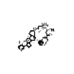 C[C@@H](CC(=O)O[C@H]1CC[C@@]2(C)C(=CC[C@@H]3[C@@H]2CC[C@]2(C)C(c4cccnc4)=CC[C@@H]32)C1)SS[C@@H](C)CC(=O)N(CC(=O)O)Cc1ccccc1